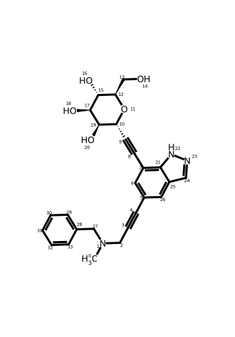 CN(CC#Cc1cc(C#C[C@H]2O[C@H](CO)[C@@H](O)[C@H](O)[C@@H]2O)c2[nH]ncc2c1)Cc1ccccc1